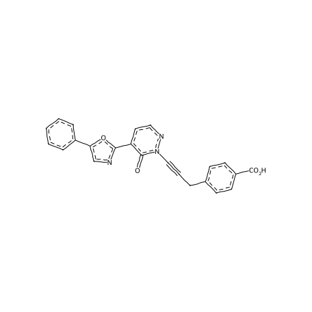 O=C(O)c1ccc(CC#Cn2nccc(-c3ncc(-c4ccccc4)o3)c2=O)cc1